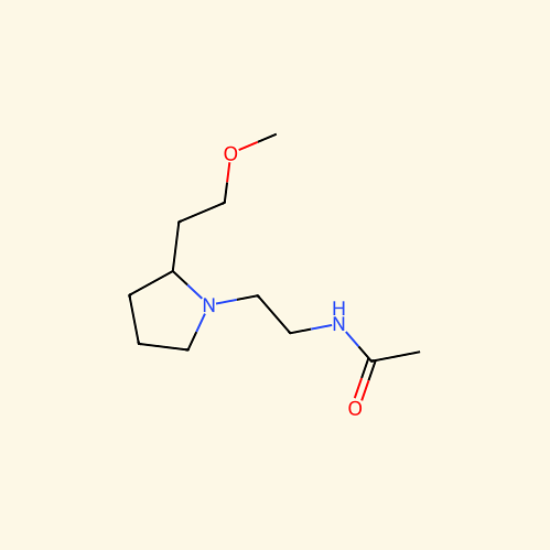 COCCC1CCCN1CCNC(C)=O